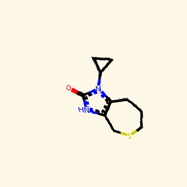 O=c1[nH]c2c(n1C1CC1)CCCSC2